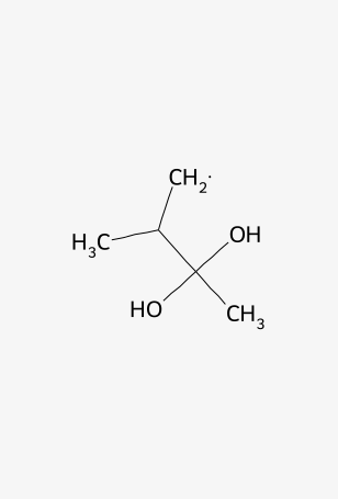 [CH2]C(C)C(C)(O)O